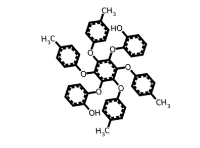 Cc1ccc(Oc2c(Oc3ccc(C)cc3)c(Oc3ccccc3O)c(Oc3ccc(C)cc3)c(Oc3ccc(C)cc3)c2Oc2ccccc2O)cc1